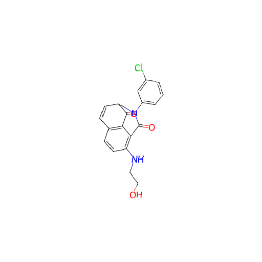 O=C1c2c3ccc(NCCO)c2C(=O)N(c2cccc(Cl)c2)C1C=C3